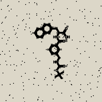 CC(C)(C)OC(=O)NCc1cccc(C(=O)NC(Cc2ccc3ccccc3c2)C(=O)O)c1